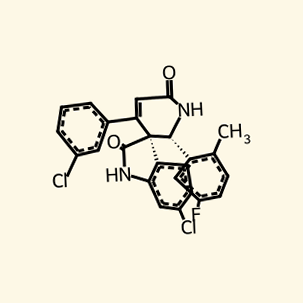 Cc1ccc(F)cc1[C@H]1NC(=O)C=C(c2cccc(Cl)c2)[C@]12C(=O)Nc1cc(Cl)ccc12